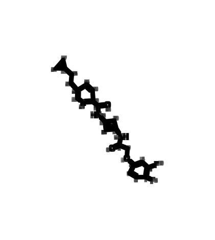 O=C(COc1ccc(F)c(F)c1)NC12CC(NC(=O)c3ccc(CCC4CC4)cn3)(C1)C2